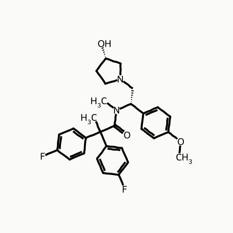 COc1ccc([C@@H](CN2CC[C@H](O)C2)N(C)C(=O)C(C)(c2ccc(F)cc2)c2ccc(F)cc2)cc1